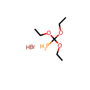 Br.CCOC(P)(OCC)OCC